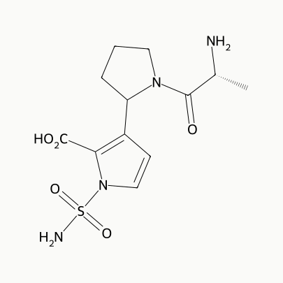 C[C@@H](N)C(=O)N1CCCC1c1ccn(S(N)(=O)=O)c1C(=O)O